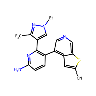 CCn1cc(-c2nc(N)ccc2-c2cncc3sc(C#N)cc23)c(C(F)(F)F)n1